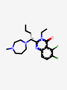 CCC[C@H](c1nc2ccc(F)c(F)c2c(=O)n1CC)N1CCCN(C)CC1